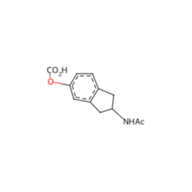 CC(=O)NC1Cc2ccc(OC(=O)O)cc2C1